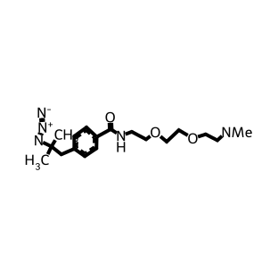 CNCCOCCOCCNC(=O)c1ccc(CC(C)(C)N=[N+]=[N-])cc1